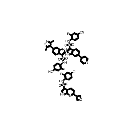 Cc1noc(C)c1-c1ccc2c(S(=O)(=O)Nc3ccc(C#N)cc3F)c[nH]c2c1.N#Cc1ccc(NS(=O)(=O)c2c[nH]c3cc(-c4ccncc4)ccc23)c(F)c1.O=S(=O)(Nc1ccc(Cl)cc1F)c1c[nH]c2nc(C3COC3)ccc12